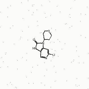 O=c1[nH]c2cnc(Cl)cc2n1C1CCOCC1